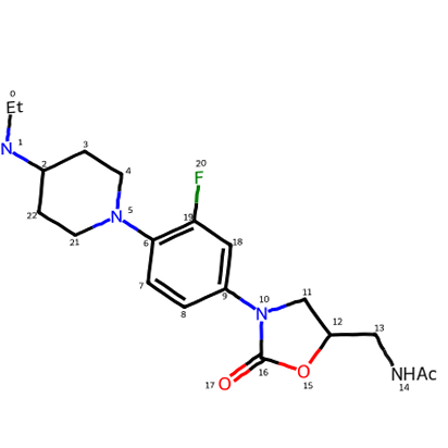 CCNC1CCN(c2ccc(N3CC(CNC(C)=O)OC3=O)cc2F)CC1